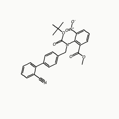 COC(=O)c1cccc([N+](=O)[O-])c1N(Cc1ccc(-c2ccccc2C#N)cc1)C(=O)OC(C)(C)C